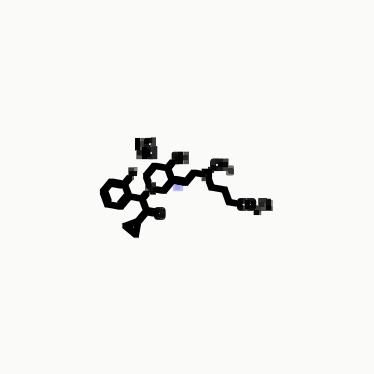 CCOC(=O)CCCN(C)C/C=C1/CN(C(C(=O)C2CC2)c2ccccc2F)CCC1S.Cl.Cl